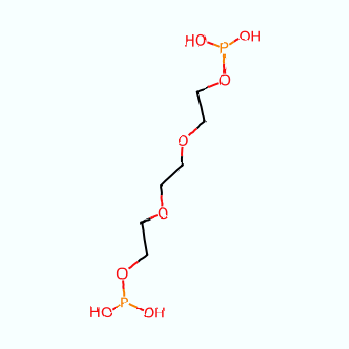 OP(O)OCCOCCOCCOP(O)O